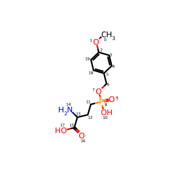 COc1ccc(COP(=O)(O)CCC(N)C(=O)O)cc1